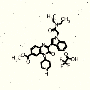 CCN(CC)C(=O)Cn1cc(-c2nc3ccc(C(=O)OC)cc3n(C3CCNCC3)c2=O)c2ccccc21.O=C(O)C(F)(F)F